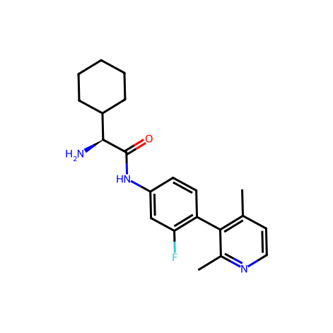 Cc1ccnc(C)c1-c1ccc(NC(=O)[C@@H](N)C2CCCCC2)cc1F